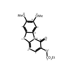 CCOC(=O)Oc1cnc2sc3cc(OC)c(OC)cc3n2c1=O